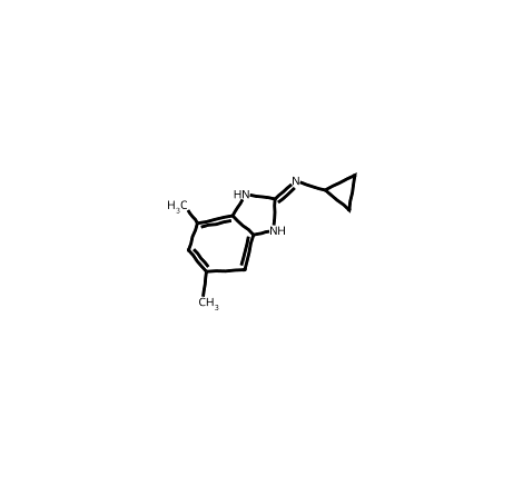 Cc1cc(C)c2[nH]/c(=N/C3CC3)[nH]c2c1